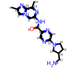 Cc1cn2cc(NC(=O)c3cnc(N4CCC(CN)C4)cn3)nc(C)c2n1